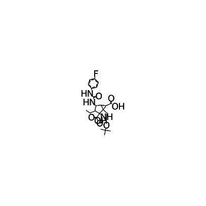 CCC1C(NC(=O)Nc2ccc(F)cc2)C2C(C(=O)O)C2(CC)C1(NC(=O)OC(C)(C)C)C(=O)O